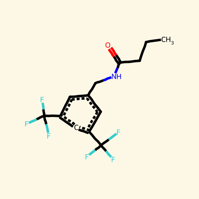 CCCC(=O)NCc1cc(C(F)(F)F)cc(C(F)(F)F)c1